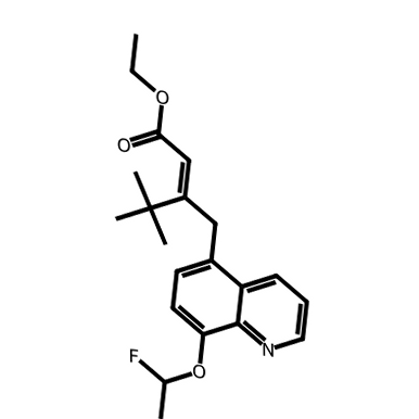 CCOC(=O)/C=C(/Cc1ccc(OC(C)F)c2ncccc12)C(C)(C)C